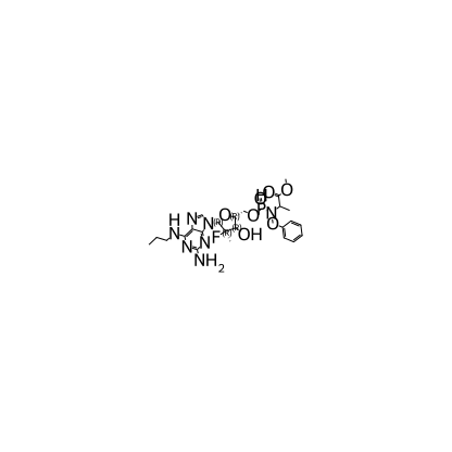 CCCNc1nc(N)nc2c1ncn2[C@@H]1O[C@H](CO[PH](=O)N(Oc2ccccc2)C(C)C(=O)OC)[C@@H](O)[C@@]1(C)F